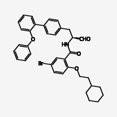 O=C[C@H](Cc1ccc(-c2ccccc2Oc2ccccc2)cc1)NC(=O)c1cc(Br)ccc1OCCC1CCCCC1